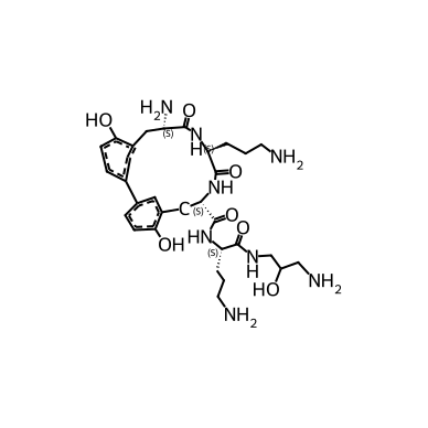 NCCC[C@H](NC(=O)[C@@H]1Cc2cc(ccc2O)-c2ccc(O)c(c2)C[C@H](N)C(=O)N[C@@H](CCCN)C(=O)N1)C(=O)NCC(O)CN